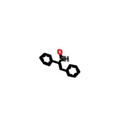 O=[SiH]C(=Cc1ccccc1)c1ccccc1